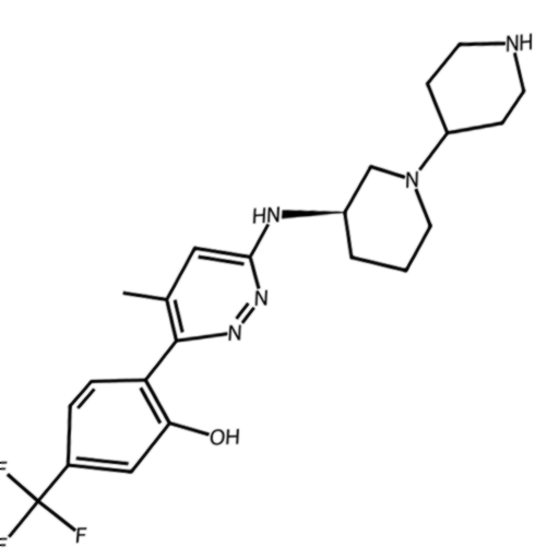 Cc1cc(N[C@@H]2CCCN(C3CCNCC3)C2)nnc1-c1ccc(C(F)(F)F)cc1O